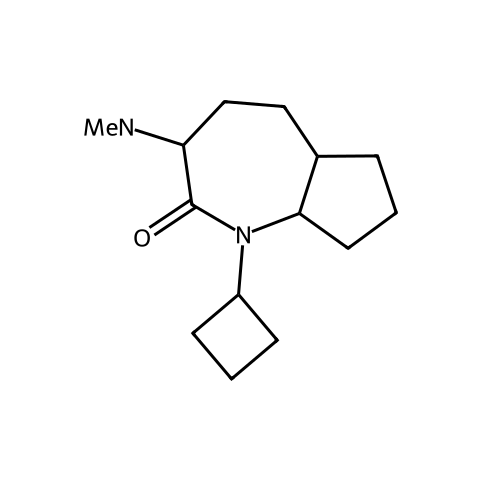 CNC1CCC2CCCC2N(C2CCC2)C1=O